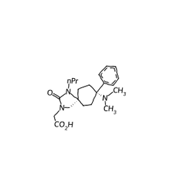 CCCN1C(=O)N(CC(=O)O)C[C@]12CC[C@@](c1ccccc1)(N(C)C)CC2